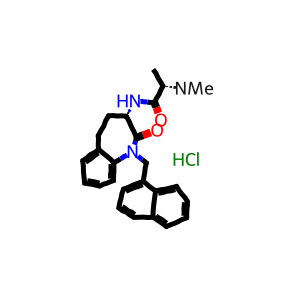 CN[C@@H](C)C(=O)N[C@H]1CCc2ccccc2N(Cc2cccc3ccccc23)C1=O.Cl